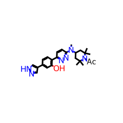 CC(=O)N1C(C)(C)CC(N(C)c2ccc(-c3ccc(-c4cn[nH]c4)cc3O)nn2)CC1(C)C